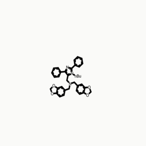 CCCCn1c(-c2ccccc2)nc(-c2ccccc2)c1CN(Cc1ccc2c(c1)OCO2)Cc1ccc2c(c1)OCO2